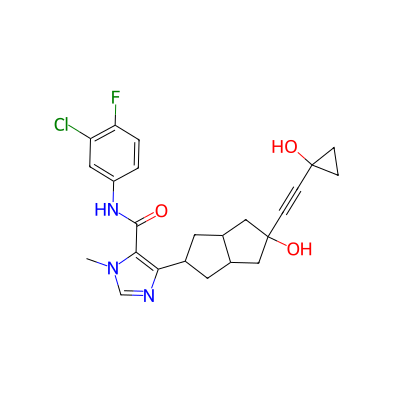 Cn1cnc(C2CC3CC(O)(C#CC4(O)CC4)CC3C2)c1C(=O)Nc1ccc(F)c(Cl)c1